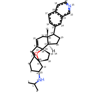 CC(C)N[C@H]1CCC2=CC3=CC[C@]4(C)C(c5ccc6ccncc6c5)CC[C@H]4[C@@]34CC[C@]2(C1)O4